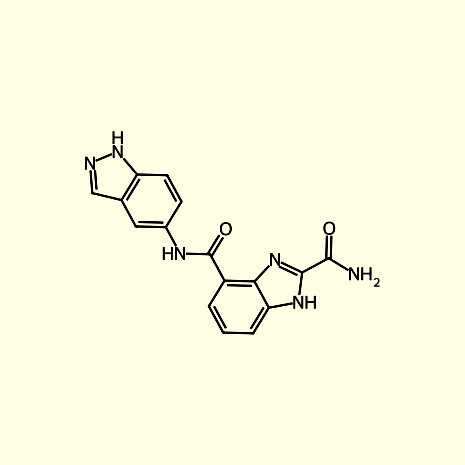 NC(=O)c1nc2c(C(=O)Nc3ccc4[nH]ncc4c3)cccc2[nH]1